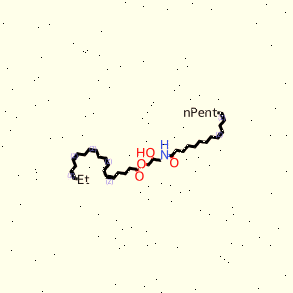 CC/C=C\C/C=C\C/C=C\C/C=C\C/C=C\CCCC(=O)OCC(O)CNC(=O)CCCCCCC/C=C\C/C=C\CCCCC